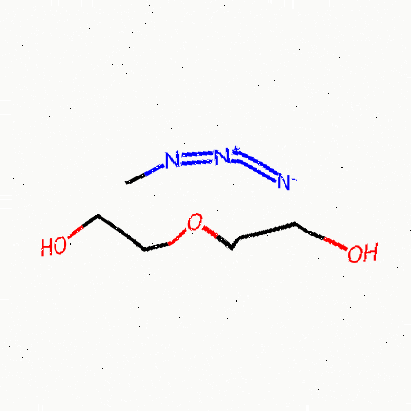 CN=[N+]=[N-].OCCOCCO